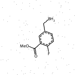 BCc1ccc(F)c(C(=O)OC)c1